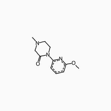 COc1cccc(N2CCN(C)CC2=O)n1